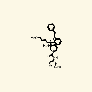 CNC[C@H](CC(C)C)NC(=O)N1CCC[C@@](N)([C@@](O)(CCCCOC)c2ccccc2OCc2ccccc2)C1